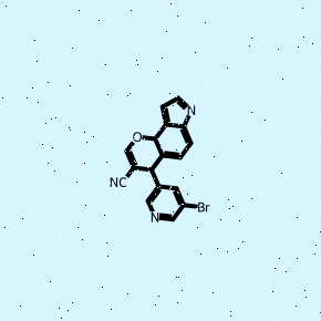 N#CC1=COC2C3=CC=NC3=CC=C2C1c1cncc(Br)c1